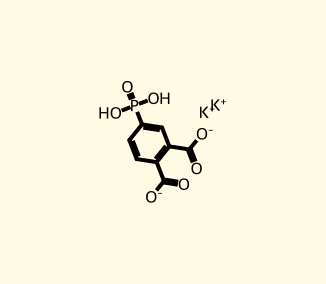 O=C([O-])c1ccc(P(=O)(O)O)cc1C(=O)[O-].[K+].[K+]